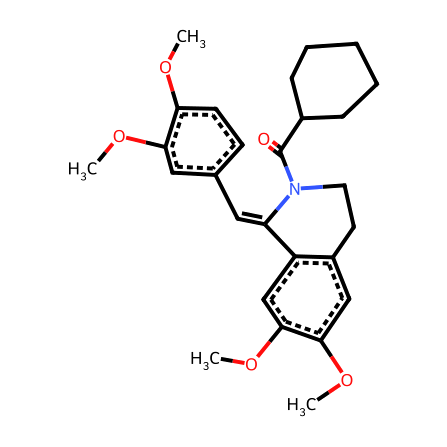 COc1ccc(/C=C2/c3cc(OC)c(OC)cc3CCN2C(=O)C2CCCCC2)cc1OC